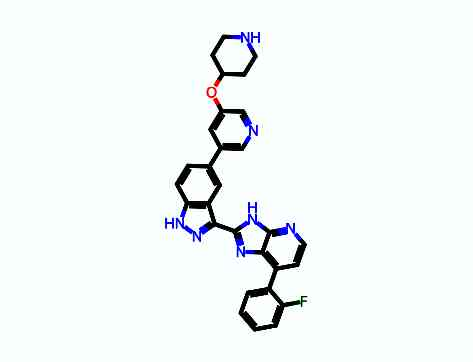 Fc1ccccc1-c1ccnc2[nH]c(-c3n[nH]c4ccc(-c5cncc(OC6CCNCC6)c5)cc34)nc12